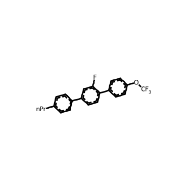 CCCc1ccc(-c2ccc(-c3ccc(OC(F)(F)F)cc3)c(F)c2)cc1